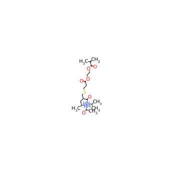 C=C(C)C(=O)OCCOC(=O)CCSCC(CC(C)NC(C)=O)C(=O)NC(C)C